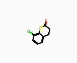 O=C1CCc2cccc(Cl)c2S1